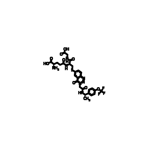 C[C@H](NC(=O)Cn1nnc2ccc(SCC(NC(=O)CC[C@H](N)C(=O)O)C(=O)NCC(=O)O)cc2c1=O)c1ccc(OC(F)(F)F)cc1